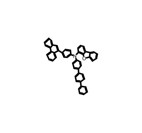 c1ccc(-c2ccc(-c3ccc(N(c4ccc(-c5cc6ccccc6c6ccccc56)cc4)c4cccc5c4oc4ccccc45)cc3)cc2)cc1